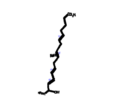 CCCCCC(O)/C=C/C=C/C/C=C/C/C=C/CCCC(=O)O.[NaH]